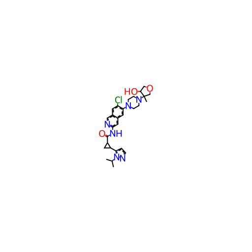 CC(C)n1nccc1C1CC1C(=O)Nc1cc2cc(N3CCN(C4(C)COCC4O)CC3)c(Cl)cc2cn1